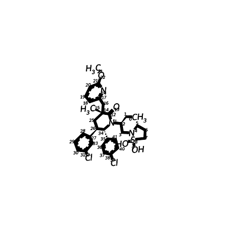 CC[C@@H](CN1CCCS1(O)O)N1C(=O)[C@@](C)(Cc2cccc(OC)n2)C[C@H](c2cccc(Cl)c2)[C@H]1c1ccc(Cl)cc1